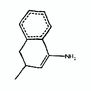 CC1C=C(N)c2ccccc2C1